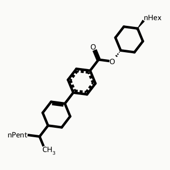 CCCCCC[C@H]1CC[C@H](OC(=O)c2ccc(C3=CCC(C(C)CCCCC)CC3)cc2)CC1